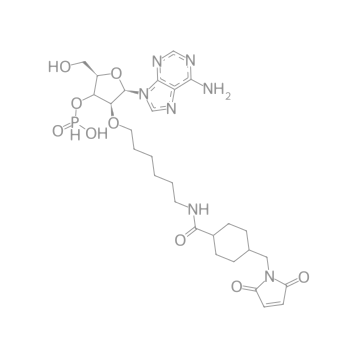 Nc1ncnc2c1ncn2[C@@H]1O[C@H](CO)C(O[PH](=O)O)[C@@H]1OCCCCCCNC(=O)C1CCC(CN2C(=O)C=CC2=O)CC1